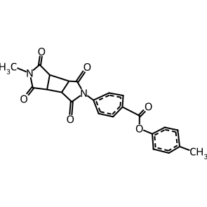 Cc1ccc(OC(=O)c2ccc(N3C(=O)C4C5C(=O)N(C)C(=O)C5C4C3=O)cc2)cc1